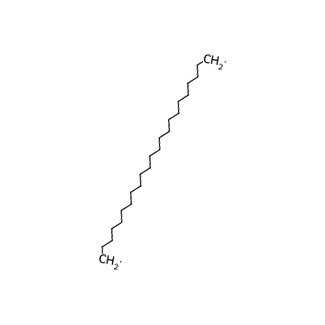 [CH2]CCCCCCCCCCCCCCCCCCCCC[CH2]